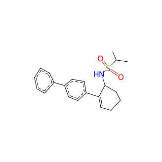 CC(C)S(=O)(=O)NC1CCCC=C1c1ccc(-c2ccccc2)cc1